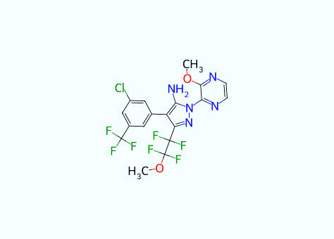 COc1nccnc1-n1nc(C(F)(F)C(F)(F)OC)c(-c2cc(Cl)cc(C(F)(F)F)c2)c1N